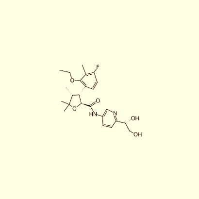 CCOc1c([C@@H]2[C@@H](C(=O)Nc3ccc([C@H](O)CO)nc3)OC(C)(C)[C@@H]2C)ccc(F)c1C